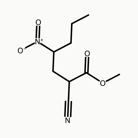 CCCC(CC(C#N)C(=O)OC)[N+](=O)[O-]